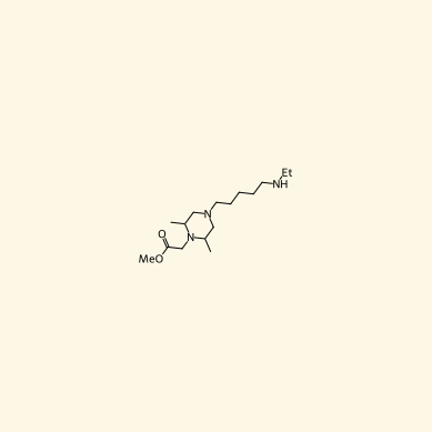 CCNCCCCCN1CC(C)N(CC(=O)OC)C(C)C1